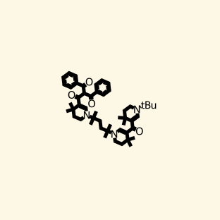 CC1(C)CCN(C(C)(C)C)C=C1C(=O)C1=CN(C(C)(C)CCC(C)(C)N2C=C(C(=O)C(C(=O)c3ccccc3)C(=O)c3ccccc3)C(C)(C)CC2)CCC1(C)C